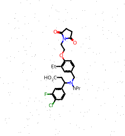 CCCN(Cc1ccc(OCCN2C(=O)CCC2=O)c(CC)c1)C(CC(=O)O)c1ccc(Cl)c(F)c1